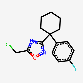 Fc1ccc(C2(c3noc(CCl)n3)CCCCC2)cc1